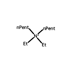 CCCCC[N+](CC)(CC)CCCCC